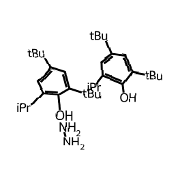 CC(C)c1cc(C(C)(C)C)cc(C(C)(C)C)c1O.CC(C)c1cc(C(C)(C)C)cc(C(C)(C)C)c1O.NN